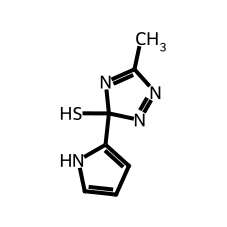 CC1=NC(S)(c2ccc[nH]2)N=N1